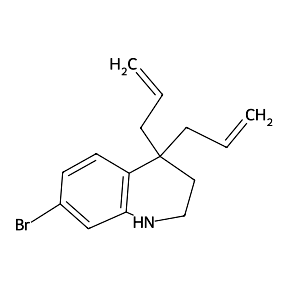 C=CCC1(CC=C)CCNc2cc(Br)ccc21